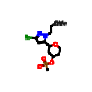 COCCn1nc(Br)cc1C1CC(OS(C)(=O)=O)CCO1